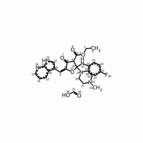 CCOC(=O)C1C(=O)C(=Cc2c[nH]c3ncccc23)OC1(Nc1ccc(F)cc1)N1CCN(C)CC1.O=CO